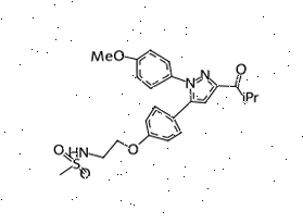 COc1ccc(-n2nc(C(=O)C(C)C)cc2-c2ccc(OCCNS(C)(=O)=O)cc2)cc1